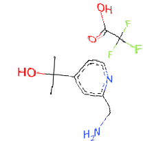 CC(C)(O)c1ccnc(CN)c1.O=C(O)C(F)(F)F